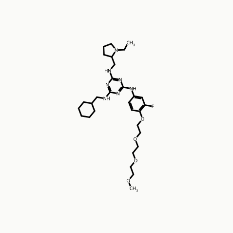 CCN1CCCC1CNc1nc(NCC2CCCCC2)nc(Nc2ccc(OCCOCCOCCOC)c(F)c2)n1